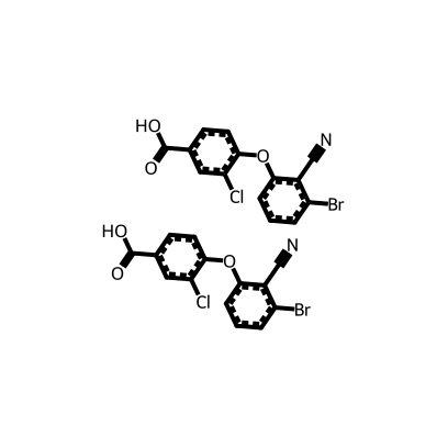 N#Cc1c(Br)cccc1Oc1ccc(C(=O)O)cc1Cl.N#Cc1c(Br)cccc1Oc1ccc(C(=O)O)cc1Cl